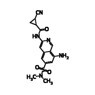 CN(C)S(=O)(=O)c1cc(N)c2cnc(NC(=O)C3CC3C#N)cc2c1